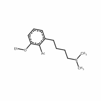 CCOc1cccc(CCCCN(C)C)c1C(C)=O